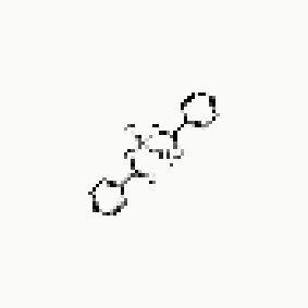 CP(=O)(OC(=O)c1ccccc1)OC(=O)c1ccccc1